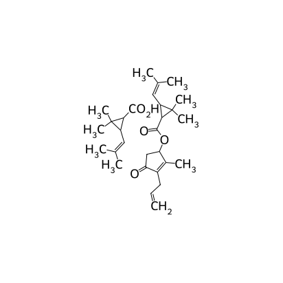 C=CCC1=C(C)C(OC(=O)C2C(C=C(C)C)C2(C)C)CC1=O.CC(C)=CC1C(C(=O)O)C1(C)C